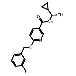 C[C@@H](NC(=O)c1ccc(OCc2cccc(F)c2)nc1)C1CC1